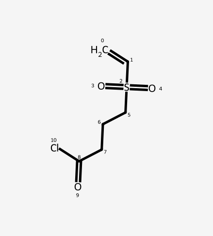 C=CS(=O)(=O)CCCC(=O)Cl